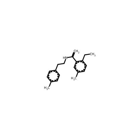 C=C(NCCc1ccc(C)cc1)c1cc(C)ccc1CC